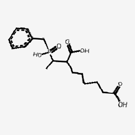 CC(C(CCCCCC(=O)O)C(=O)O)P(=O)(O)Cc1ccccc1